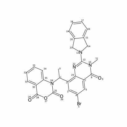 CC(c1cc(Br)cc2c(=O)n(C)c(N3Cc4ccccc4C3)nc12)n1c(=O)oc(=O)c2ccccc21